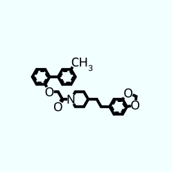 Cc1cccc(-c2ccccc2OCC(=O)N2CCC(CCc3ccc4c(c3)OCO4)CC2)c1